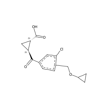 O=C(O)[C@H]1C[C@@H]1C(=O)c1ccc(COC2CC2)c(Cl)c1